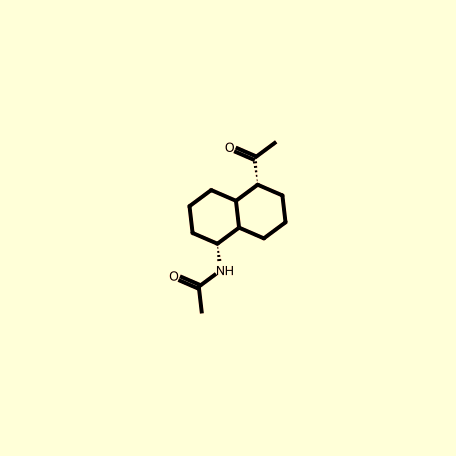 CC(=O)N[C@@H]1CCCC2C1CCC[C@H]2C(C)=O